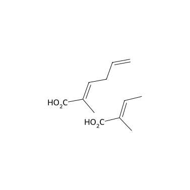 C=CCC=C(C)C(=O)O.CC=C(C)C(=O)O